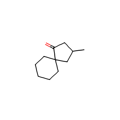 CC1CC(=O)C2(CCCCC2)C1